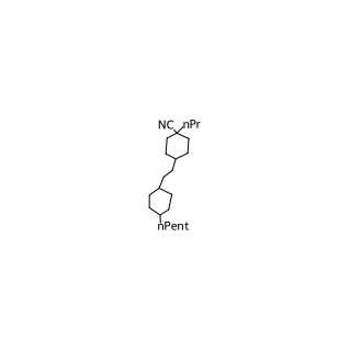 CCCCCC1CCC(CCC2CCC(C#N)(CCC)CC2)CC1